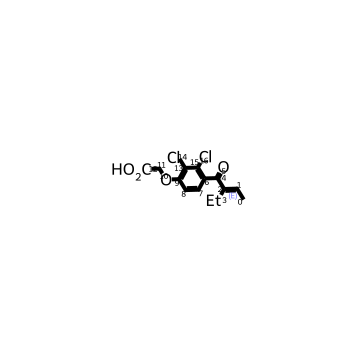 C/C=C(\CC)C(=O)c1ccc(OCC(=O)O)c(Cl)c1Cl